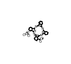 O=C(OF)c1cccc2c3nc4nc(nc5[nH]c(nc6nc(nc([nH]3)c12)-c1ccccc1-6)c1ccccc51)-c1ccccc1-4.[Cl][Ga]([Cl])[Cl]